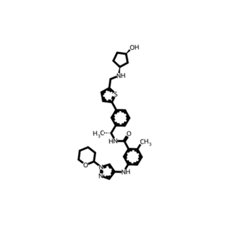 Cc1ccc(Nc2cnn(C3CCCCO3)c2)cc1C(=O)N[C@H](C)c1cccc(-c2ccc(CN[C@H]3CC[C@@H](O)C3)s2)c1